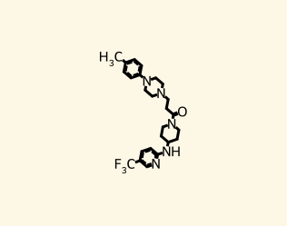 Cc1ccc(N2CCN(CCC(=O)N3CCC(Nc4ccc(C(F)(F)F)cn4)CC3)CC2)cc1